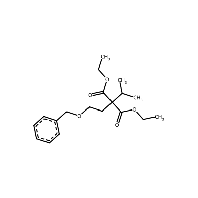 CCOC(=O)C(CCOCc1ccccc1)(C(=O)OCC)C(C)C